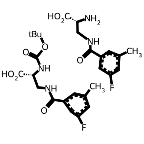 Cc1cc(F)cc(C(=O)NC[C@@H](N)C(=O)O)c1.Cc1cc(F)cc(C(=O)NC[C@@H](NC(=O)OC(C)(C)C)C(=O)O)c1